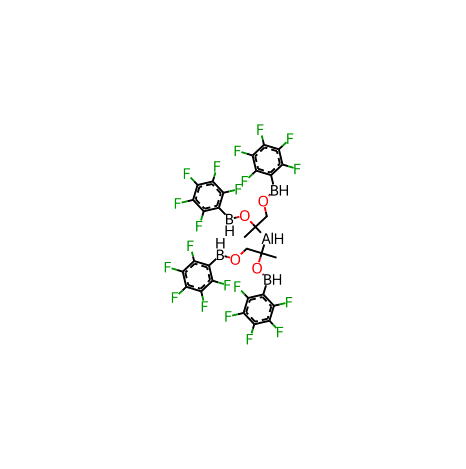 C[C](COBc1c(F)c(F)c(F)c(F)c1F)(OBc1c(F)c(F)c(F)c(F)c1F)[AlH][C](C)(COBc1c(F)c(F)c(F)c(F)c1F)OBc1c(F)c(F)c(F)c(F)c1F